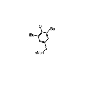 CCCCCCCCCSc1cc(C(C)CC)c([O])c(C(C)CC)c1